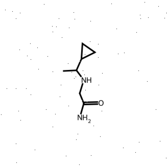 CC(NCC(N)=O)C1CC1